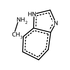 CN.c1ccc2[nH]cnc2c1